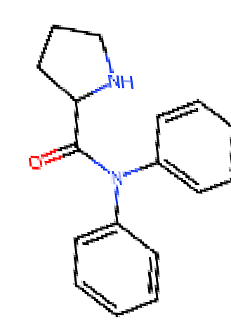 O=C(C1CCCN1)N(c1ccccc1)c1ccccc1